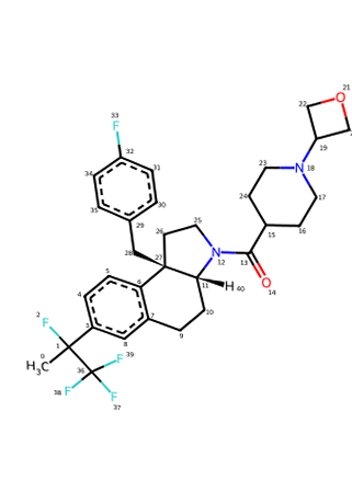 CC(F)(c1ccc2c(c1)CC[C@H]1N(C(=O)C3CCN(C4COC4)CC3)CC[C@@]21Cc1ccc(F)cc1)C(F)(F)F